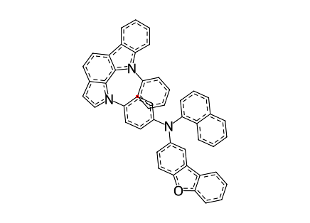 c1ccc(-n2c3ccccc3c3ccc4ccn(-c5ccc(N(c6ccc7oc8ccccc8c7c6)c6cccc7ccccc67)cc5)c4c32)cc1